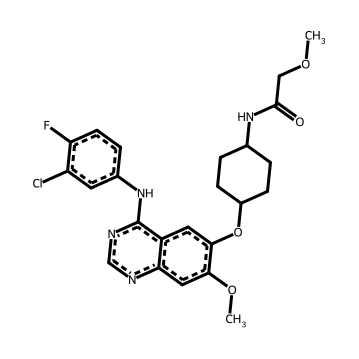 COCC(=O)NC1CCC(Oc2cc3c(Nc4ccc(F)c(Cl)c4)ncnc3cc2OC)CC1